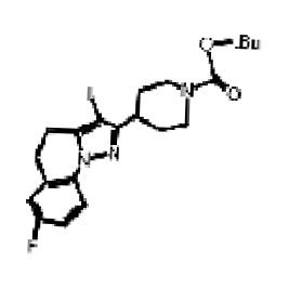 CC(C)(C)OC(=O)N1CCC(c2nn3c(c2I)CCc2cc(F)ccc2-3)CC1